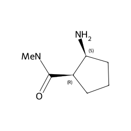 CNC(=O)[C@@H]1CCC[C@@H]1N